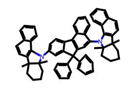 CC12CCCCC1(C)N(c1ccc3c(c1)C(c1ccccc1)(c1ccccc1)c1cc(N4c5c(ccc6ccccc56)C5(C)CCCCC45C)c4ccccc4c1-3)c1c2ccc2ccccc12